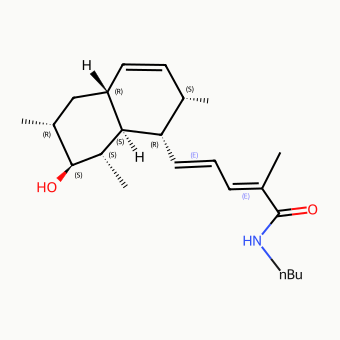 CCCCNC(=O)/C(C)=C/C=C/[C@@H]1[C@H]2[C@H](C)[C@@H](O)[C@H](C)C[C@@H]2C=C[C@@H]1C